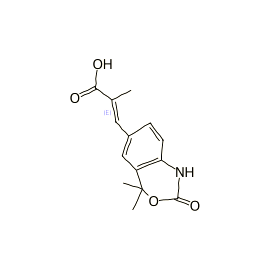 C/C(=C\c1ccc2c(c1)C(C)(C)OC(=O)N2)C(=O)O